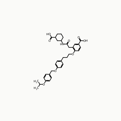 CC(C)Oc1ccc(COc2ccc(CCCOc3ccc(C(=O)O)cc3CC(=O)NC3CCCC(C(=O)O)C3)cc2)cc1